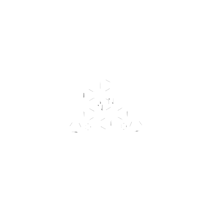 Cc1ccc2oc3c(-c4cccc(-c5cc(C)cc6c5oc5ccc(C)cc56)c4-c4cnc5c6ccccc6c6ccccc6c5n4)cc(C)cc3c2c1